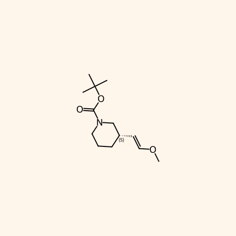 COC=C[C@@H]1CCCN(C(=O)OC(C)(C)C)C1